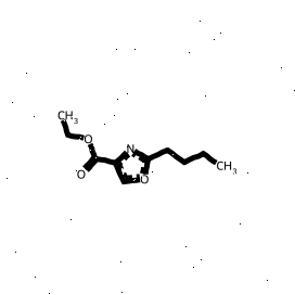 CCCCc1nc(C(=O)OCC)co1